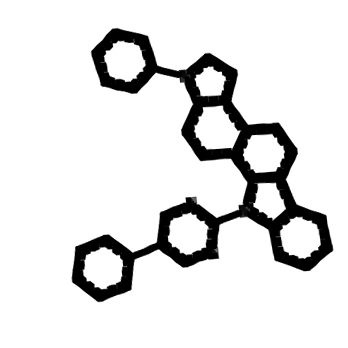 c1ccc(-c2cnc(-n3c4ccccc4c4ccc5c6ccn(-c7ccccc7)c6ccc5c43)nc2)cc1